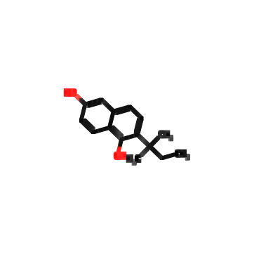 CCC(C)(C)c1ccc2cc(O)ccc2c1O